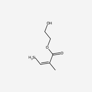 CC(=C[SiH3])C(=O)OCCO